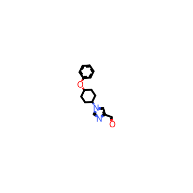 O=Cc1cn(C2CCC(Oc3ccccc3)CC2)cn1